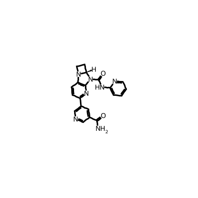 NC(=O)c1cncc(-c2ccc3c(n2)N(C(=O)Nc2ccccn2)[C@H]2CCN32)c1